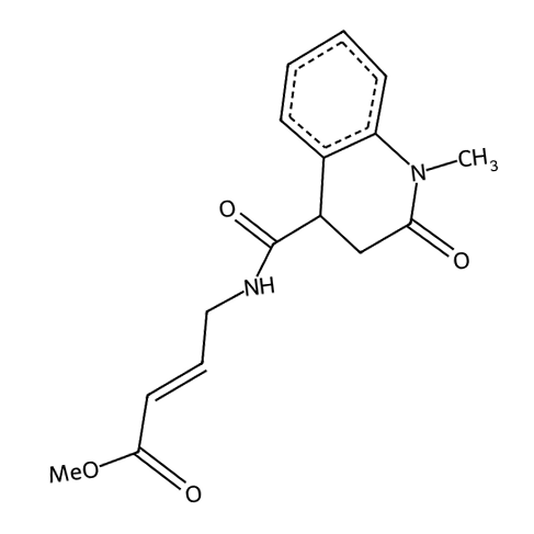 COC(=O)/C=C/CNC(=O)C1CC(=O)N(C)c2ccccc21